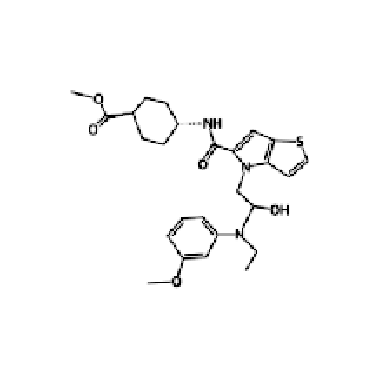 CCN(c1cccc(OC)c1)C(O)Cn1c(C(=O)N[C@H]2CC[C@H](C(=O)OC)CC2)cc2sccc21